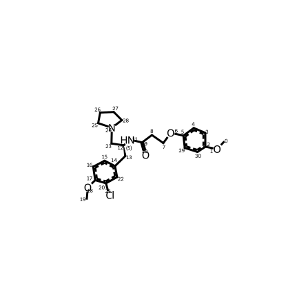 COc1ccc(OCCC(=O)N[C@@H](Cc2ccc(OC)c(Cl)c2)CN2CCCC2)cc1